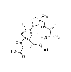 CC(N)C(=O)NCC1(C)CCN(c2c(F)cc3c(=O)c(C(=O)O)cn(C4CC4)c3c2F)C1.Cl